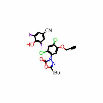 C#CCOc1cc(-n2nc(C(C)(C)C)oc2=O)c(Cl)cc1Cl.N#Cc1cc(I)c(O)c(I)c1